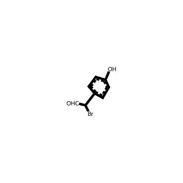 O=CC(Br)c1ccc(O)cc1